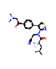 CC(C)C[C@H](N)C(=O)N(CC#N)c1nscc1-c1ccc(C(=O)CN(C)C)cc1